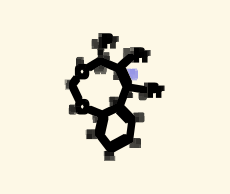 CC(C)/C1=C(\C(C)C)[C@@H](C(C)C)OCOc2ccccc21